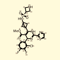 COC(=O)C1=C(C23CC(NS(=O)(=O)C4CNC4)(C2)C3)NC(c2nccs2)=NC1c1ccc(F)c(F)c1Cl